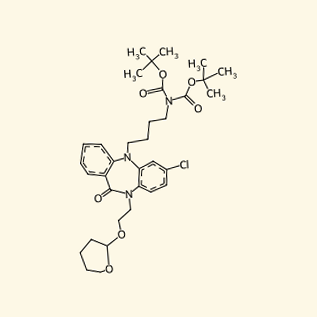 CC(C)(C)OC(=O)N(CCCCN1c2ccccc2C(=O)N(CCOC2CCCCO2)c2ccc(Cl)cc21)C(=O)OC(C)(C)C